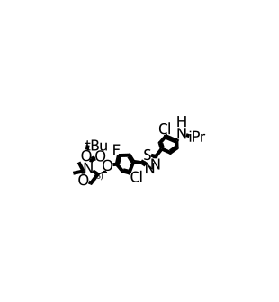 CC(C)Nc1ccc(-c2nnc(-c3cc(F)c(OC[C@H]4COC(C)(C)N4C(=O)OC(C)(C)C)cc3Cl)s2)cc1Cl